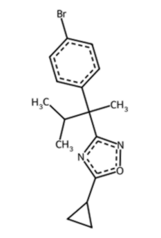 CC(C)C(C)(c1ccc(Br)cc1)c1noc(C2CC2)n1